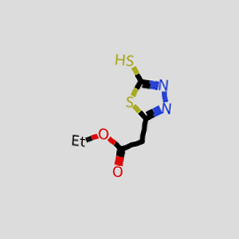 CCOC(=O)Cc1nnc(S)s1